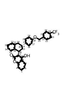 O=c1oc2ccccc2c(O)c1[C@@H]1C[C@@H](c2ccc(OCc3ccc(C(F)(F)F)cc3)cc2)Cc2ccccc21